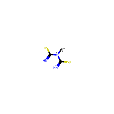 CC(C)N(C(=N)S)C(=N)S